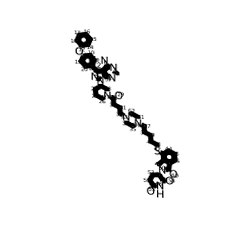 Nc1ncnc2c1c(-c1ccc(Oc3ccccc3)cc1)nn2C1CCCN(C(=O)CCCN2CCN(CCCCCSc3cccc4c3CN(C3CCC(=O)NC3=O)C4=O)CC2)C1